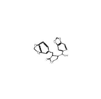 O=C1OCC(C(O)c2ccc3c(c2)OCO3)C1Cc1ccc2c(c1)OCO2